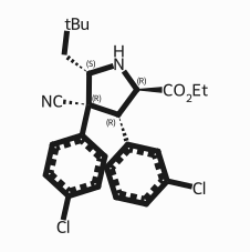 CCOC(=O)[C@@H]1N[C@@H](CC(C)(C)C)[C@](C#N)(c2ccc(Cl)cc2)[C@H]1c1cccc(Cl)c1